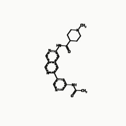 CC(=O)Nc1cncc(-c2cc3cc(NC(=O)C4CCN(C)CC4)ncc3cn2)c1